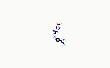 CC(c1ccnc(Nc2nc3ccc(-c4cc(C(F)F)ncn4)cc3[nH]2)c1)N1CCN(C(=O)CC(F)(F)F)CC1